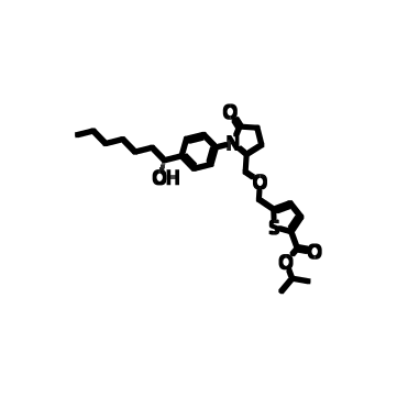 CCCCCC[C@@H](O)c1ccc(N2C(=O)CCC2COCc2ccc(C(=O)OC(C)C)s2)cc1